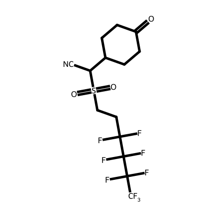 N#CC(C1CCC(=O)CC1)S(=O)(=O)CCC(F)(F)C(F)(F)C(F)(F)C(F)(F)F